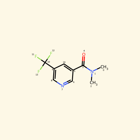 CN(C)C(=O)c1cncc(C(F)(F)F)c1